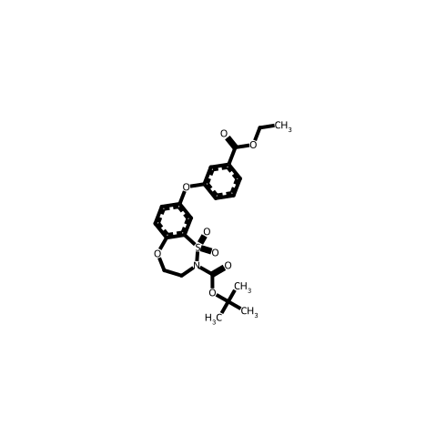 CCOC(=O)c1cccc(Oc2ccc3c(c2)S(=O)(=O)N(C(=O)OC(C)(C)C)CCO3)c1